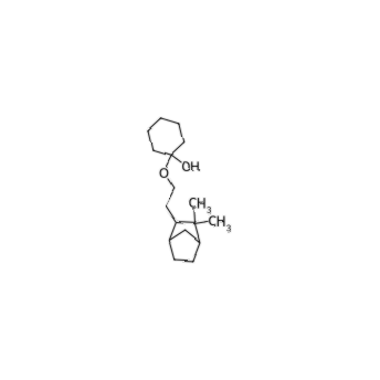 CC1(C)C2CCC(C2)C1CCOC1(O)CCCCC1